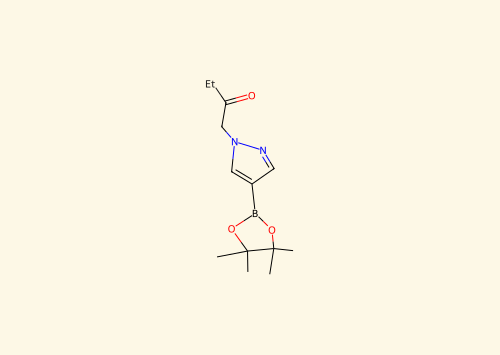 CCC(=O)Cn1cc(B2OC(C)(C)C(C)(C)O2)cn1